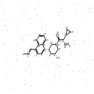 C/N=C/c1ccc([C@H]2C[C@@H](C)CN(C(=O)[C@@H](N)C3CC3)C2)c2cccnc12